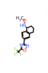 CONC1CCCc2cc(-c3noc(C(F)(F)F)n3)ccc21